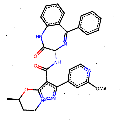 COc1cc(-c2nn3c(c2C(=O)N[C@H]2N=C(c4ccccc4)c4ccccc4NC2=O)O[C@H](C)CC3)ccn1